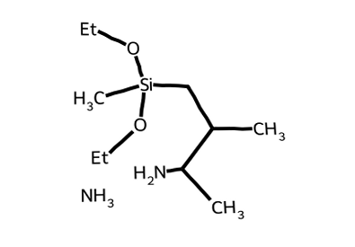 CCO[Si](C)(CC(C)C(C)N)OCC.N